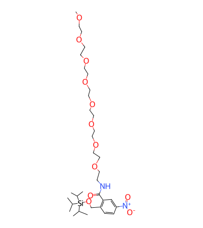 COCCOCCOCCOCCOCCOCCOCCOCCNC(=O)c1cc([N+](=O)[O-])ccc1CO[Si](C(C)C)(C(C)C)C(C)C